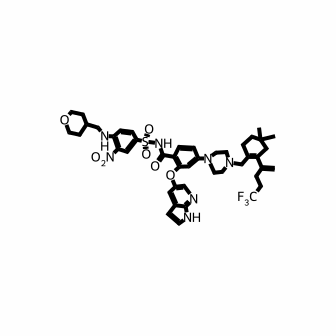 C=C(CCC(F)(F)F)C1=C(CN2CCN(c3ccc(C(=O)NS(=O)(=O)c4ccc(NCC5CCOCC5)c([N+](=O)[O-])c4)c(Oc4cnc5[nH]ccc5c4)c3)CC2)CCC(C)(C)C1